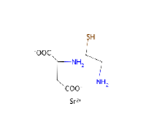 NC(CC(=O)[O-])C(=O)[O-].NCCS.[Sr+2]